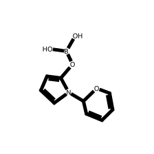 OB(O)Oc1cccn1C1C=CC=CO1